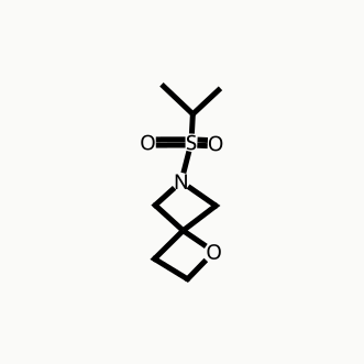 CC(C)S(=O)(=O)N1CC2(CCO2)C1